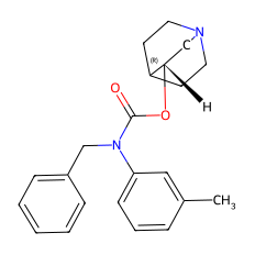 Cc1cccc(N(Cc2ccccc2)C(=O)O[C@H]2CN3CCC2CC3)c1